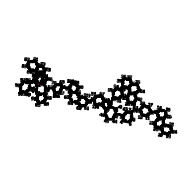 C[C@@H]1C(c2cccc(N(c3ccc(-c4cccc5c4ccc4ccccc45)cc3)c3ccc4c(ccc5ccccc54)c3)c2)=CC=Cc2c1n(-c1ccccc1)c1ccc(-c3ccc4ccc5c(-c6ccc(N(c7ccc8c(ccc9ccccc98)c7)c7ccccc7-n7c8c(c9ccccc97)CCC=C8)cc6)cccc5c4c3)cc21